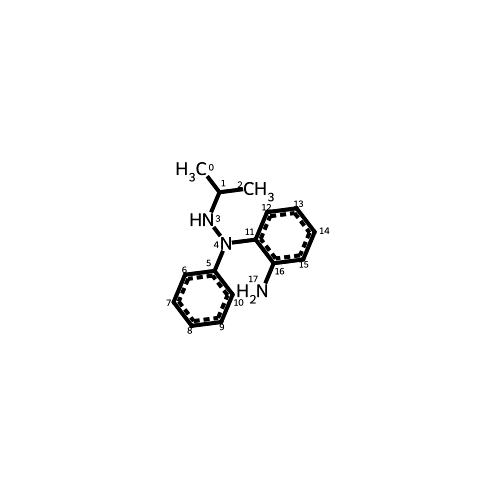 CC(C)NN(c1ccccc1)c1ccccc1N